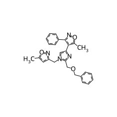 Cc1cc(Cn2cc(-c3c(-c4ccccc4)noc3C)nc2COCc2ccccc2)no1